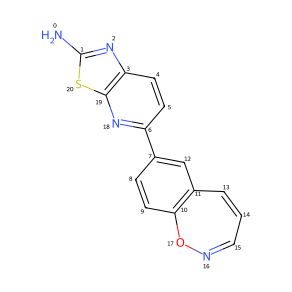 Nc1nc2ccc(-c3ccc4c(c3)C=CC=NO4)nc2s1